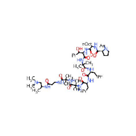 CCCCCCCCC(NC(=O)[C@@H]1CCCN1C(C)=O)C(=O)NC(C(=O)NC(C)(C)C(=O)NC(CC(C)C)C(=O)NC(CC(C)C)C(=O)NC(C)(C)C(=O)NC(C)(C)C(=O)NCCC(=O)NC(C)CN(C)C)C(O)C(C)C